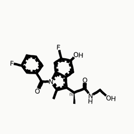 Cc1c([C@H](C)C(=O)NCO)c2cc(O)c(F)cc2n1C(=O)c1cccc(F)c1